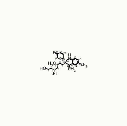 CCN(CCO)C[C@H](C)CC[C@@H]1C(C)c2cc(C(F)(F)F)ccc2N[C@H]1C1C=CC(F)=CC1